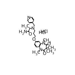 CC(C(N)=O)N(CCCOc1ccc2c(c1)N(C)C(=O)C(C)(C)C(=O)N2C)Cc1ccncc1.Cl.Cl